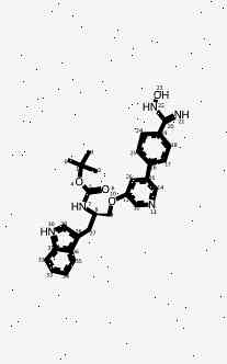 CC(C)(C)OC(=O)N[C@@H](COc1cncc(-c2ccc(C(=N)NO)cc2)c1)Cc1c[nH]c2ccccc12